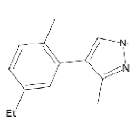 CCc1ccc(C)c(C2=C[N]N=C2C)c1